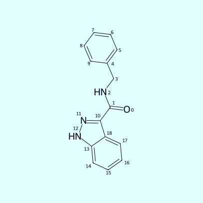 O=C(NCc1ccccc1)c1n[nH]c2ccccc12